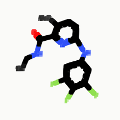 COc1ccc(Nc2cc(F)c(F)c(F)c2)nc1C(=O)NCC(C)(C)C